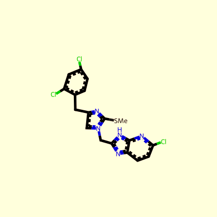 CSc1nc(Cc2ccc(Cl)cc2Cl)cn1Cc1nc2ccc(Cl)nc2[nH]1